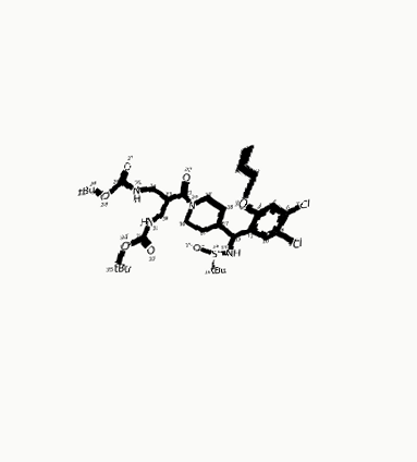 C=CCOc1cc(Cl)c(Cl)cc1C(N[S@@+]([O-])C(C)(C)C)C1CCN(C(=O)C(CNC(=O)OC(C)(C)C)CNC(=O)OC(C)(C)C)CC1